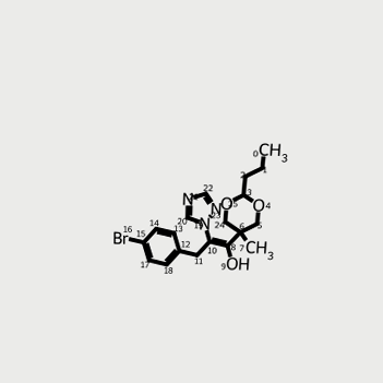 CCCC1OCC(C)(C(O)=C(Cc2ccc(Br)cc2)n2cncn2)CO1